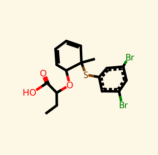 CCC(OC1C=CC=CC1(C)Sc1cc(Br)cc(Br)c1)C(=O)O